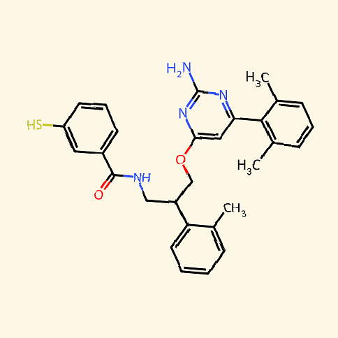 Cc1ccccc1C(CNC(=O)c1cccc(S)c1)COc1cc(-c2c(C)cccc2C)nc(N)n1